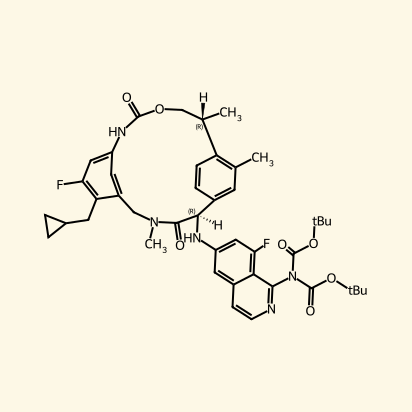 Cc1cc2ccc1[C@@H](C)COC(=O)Nc1cc(F)c(CC3CC3)c(c1)CN(C)C(=O)[C@@H]2Nc1cc(F)c2c(N(C(=O)OC(C)(C)C)C(=O)OC(C)(C)C)nccc2c1